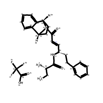 CC[C@H](N)C(=O)N[C@H](/C=C/C(=O)N1[C@@H]2CC[C@H]1c1ccccc12)CCc1ccccc1.O=C(O)C(F)(F)F